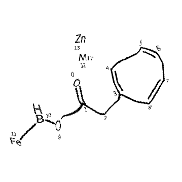 O=C(Cc1ccccc1)O[BH][Fe].[Mn].[Zn]